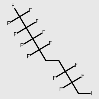 FC(F)(F)C(F)(F)C(F)(F)C(F)(F)CCC(F)(F)C(F)(F)CI